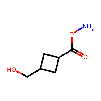 NOC(=O)C1CC(CO)C1